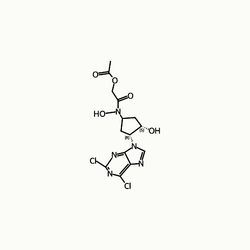 CC(=O)OCC(=O)N(O)C1C[C@@H](n2cnc3c(Cl)nc(Cl)nc32)[C@@H](O)C1